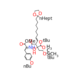 CCCCCCCC1(CCCCCCC=CC(C(=O)N[C@@H](Cc2ccc(OCCCC)cc2)C(=O)OC)C(O)(CCO[Si](C)(C)C(C)(C)C)C(=O)OC(C)(C)C)OCCO1